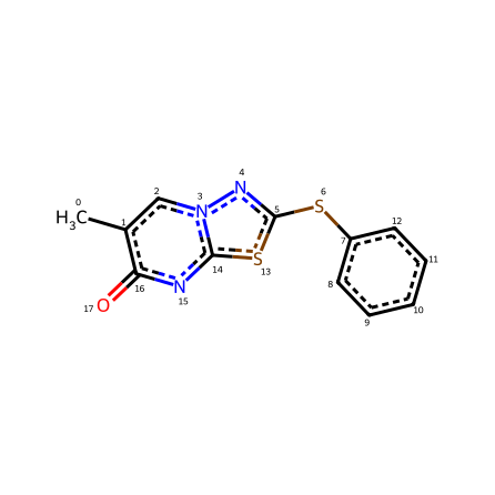 Cc1cn2nc(Sc3ccccc3)sc2nc1=O